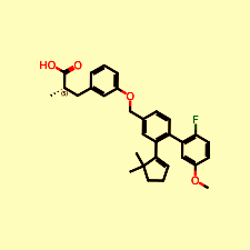 COc1ccc(F)c(-c2ccc(COc3cccc(C[C@H](C)C(=O)O)c3)cc2C2=CCCC2(C)C)c1